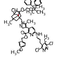 COc1ccc(COC(=O)c2nc(NCCCc3c(Cl)nnc(Cl)c3C)ccc2-c2cnn(CC34CC5(C)CC(C)(C3)CC(OCCO[Si](c3ccccc3)(c3ccccc3)C(C)(C)C)(C5)C4)c2C)cc1